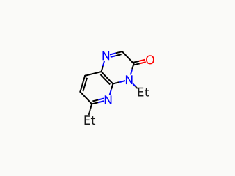 CCc1ccc2ncc(=O)n(CC)c2n1